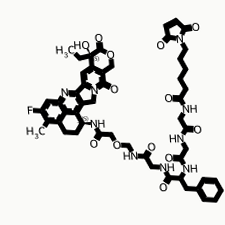 CC[C@@]1(O)C(=O)OCc2c1cc1n(c2=O)Cc2c-1nc1cc(F)c(C)c3c1c2[C@@H](NC(=O)COCNC(=O)CNC(=O)C(CC1=CCCC=C1)NC(=O)CNC(=O)CNC(=O)CCCCCN1C(=O)C=CC1=O)CC3